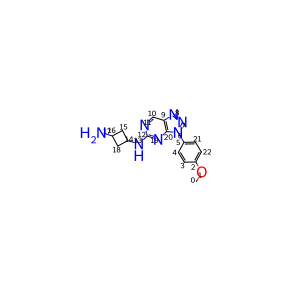 COc1ccc(-n2nnc3cnc(NC4CC(N)C4)nc32)cc1